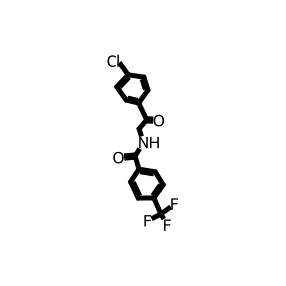 O=C(CNC(=O)c1ccc(C(F)(F)F)cc1)c1ccc(Cl)cc1